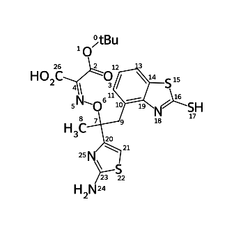 CC(C)(C)OC(=O)/C(=N\OC(C)(Cc1cccc2sc(S)nc12)c1csc(N)n1)C(=O)O